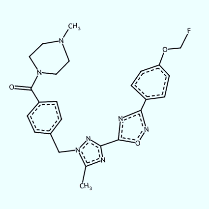 Cc1nc(-c2nc(-c3ccc(OCF)cc3)no2)nn1Cc1ccc(C(=O)N2CCN(C)CC2)cc1